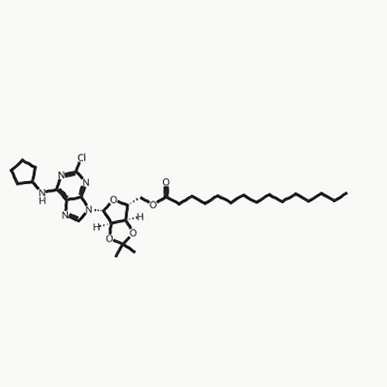 CCCCCCCCCCCCCCC(=O)OC[C@H]1O[C@@H](n2cnc3c(NC4CCCC4)nc(Cl)nc32)[C@@H]2OC(C)(C)O[C@@H]21